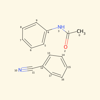 CC(=O)Nc1ccccc1.N#Cc1ccccc1